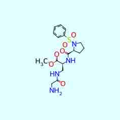 COC(=O)[C@H](CNC(=O)CN)NC(=O)[C@@H]1CCCN1S(=O)(=O)c1ccccc1